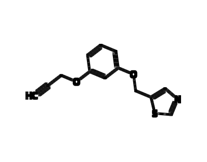 C#CCOc1cccc(OCc2cncs2)c1